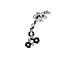 CC(C)C(NC(=O)OC(C)(C)C)C(=O)OCCOCCN1CCN(C2=Nc3ccccc3Sc3ccccc32)CC1